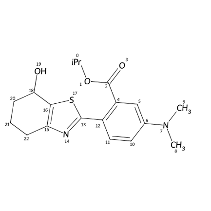 CC(C)OC(=O)c1cc(N(C)C)ccc1-c1nc2c(s1)C(O)CCC2